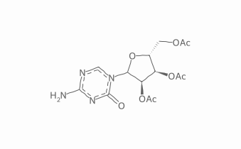 CC(=O)OC[C@H]1OC(n2cnc(N)nc2=O)[C@H](OC(C)=O)[C@@H]1OC(C)=O